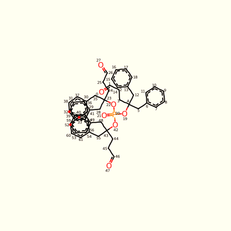 O=CCCC(Cc1ccccc1)(Cc1ccccc1)OP(=O)(OC(CCC=O)(Cc1ccccc1)Cc1ccccc1)OC(CCC=O)(Cc1ccccc1)Cc1ccccc1